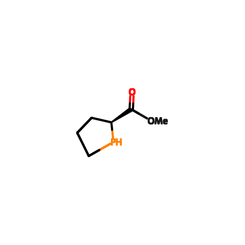 COC(=O)[C@@H]1CCCP1